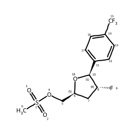 CS(=O)(=O)OC[C@@H]1C[C@@H](F)[C@H](c2ccc(C(F)(F)F)cc2)O1